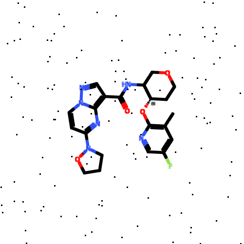 Cc1cc(F)cnc1O[C@H]1CCOCC1NC(=O)c1cnn2ccc(N3CCCO3)nc12